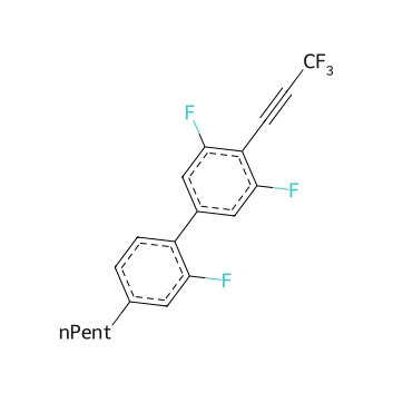 CCCCCc1ccc(-c2cc(F)c(C#CC(F)(F)F)c(F)c2)c(F)c1